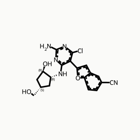 N#Cc1ccc2oc(-c3c(Cl)nc(N)nc3N[C@@H]3C[C@H](CO)C[C@H]3O)cc2c1